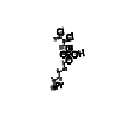 CC(C)CCCCCOP(=O)(O)OCC(Cl)CCl